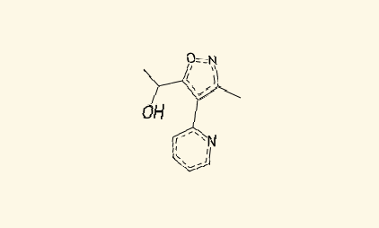 Cc1noc(C(C)O)c1-c1ccccn1